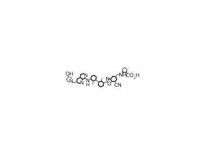 Cc1c(Nc2nccc3cc(CN4CCC(O)C4)cnc23)cccc1-c1cccc(-c2nc3cc(CN[C@H]4CCC[C@H]4C(=O)O)cc(C#N)c3o2)c1C